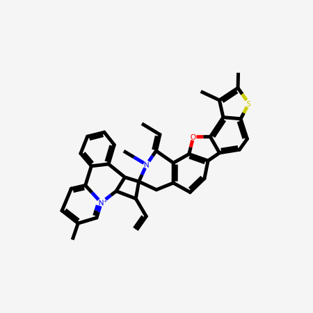 C=CC1C2C(c3ccccc3-c3ccc(C)c[n+]32)C12Cc1ccc3c(oc4c3ccc3sc(C)c(C)c34)c1/C(=C/C)N2C